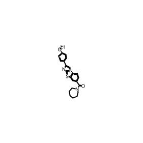 CCOc1ccc(-c2cn3c(n2)sc2cc(C(=O)N4CCCCCC4)ccc23)cc1